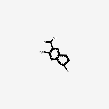 Nc1cc2cc(Cl)ccc2cc1C(=O)O